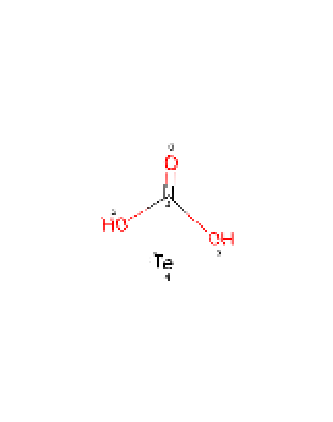 O=C(O)O.[Te]